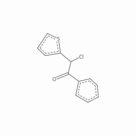 O=C(c1ccccc1)C(Cl)c1cccs1